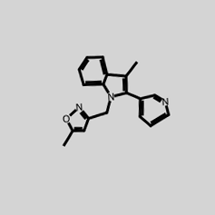 Cc1cc(Cn2c(-c3cccnc3)c(C)c3ccccc32)no1